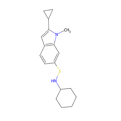 Cn1c(C2CC2)cc2ccc(SNC3CCCCC3)cc21